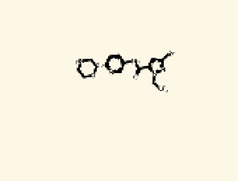 CC(C)c1cc(C(=O)Nc2ccc([C@H]3CNCCO3)nc2)n(CC(F)(F)F)n1